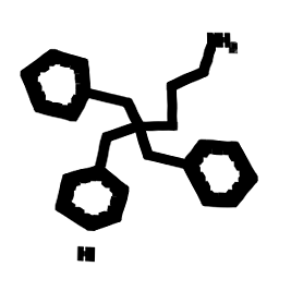 I.NCCCC(Cc1ccccc1)(Cc1ccccc1)Cc1ccccc1